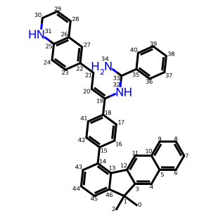 CC1(C)c2cc3ccccc3cc2-c2c(-c3ccc(/C(=C/Cc4ccc5c(c4)C=CCN5)NC(N)c4ccccc4)cc3)cccc21